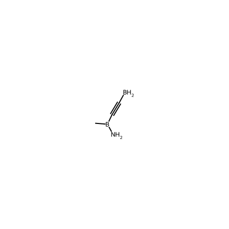 BC#CB(C)N